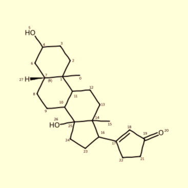 CC12CCC(O)C[C@H]1CCC1C2CCC2(C)C(C3=CC(=O)CC3)CCC12O